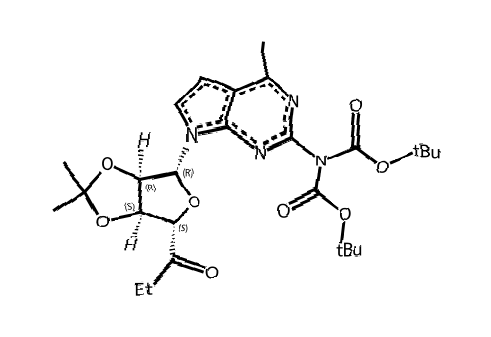 CCC(=O)[C@H]1O[C@@H](n2ccc3c(C)nc(N(C(=O)OC(C)(C)C)C(=O)OC(C)(C)C)nc32)[C@@H]2OC(C)(C)O[C@@H]21